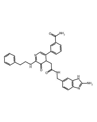 NC(=O)c1cccc(C2=CN=C(NCCc3ccccc3)C(=O)C2CC(=O)NCc2ccc3nc(N)[nH]c3c2)c1